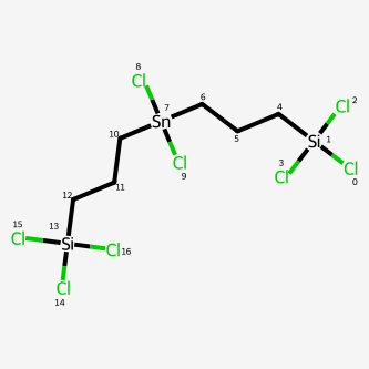 Cl[Si](Cl)(Cl)CC[CH2][Sn]([Cl])([Cl])[CH2]CC[Si](Cl)(Cl)Cl